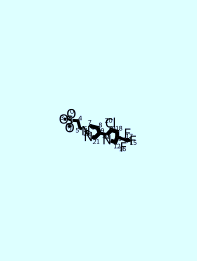 O=S(=O)([O-])CC[n+]1ccc(-c2ncc(C(F)(F)F)cc2Cl)cn1